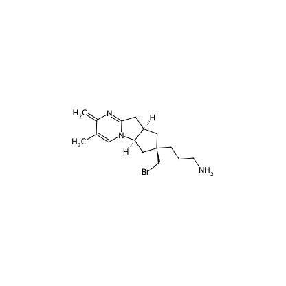 C=C1N=C2C[C@H]3C[C@](CBr)(CCCN)C[C@H]3N2C=C1C